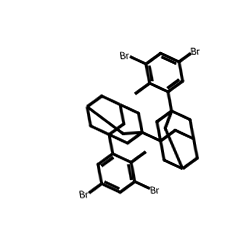 Cc1c(Br)cc(Br)cc1C12CC3CC(C1)CC(C14CC5CC(CC(c6cc(Br)cc(Br)c6C)(C5)C1)C4)(C3)C2